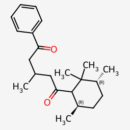 CC(CC(=O)c1ccccc1)CC(=O)C1[C@H](C)CC[C@@H](C)C1(C)C